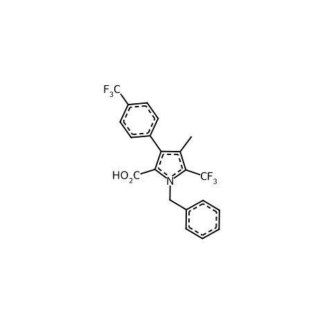 Cc1c(-c2ccc(C(F)(F)F)cc2)c(C(=O)O)n(Cc2ccccc2)c1C(F)(F)F